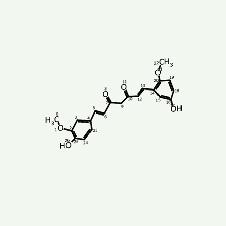 COc1cc(/C=C/C(=O)CC(=O)/C=C/c2cc(O)ccc2OC)ccc1O